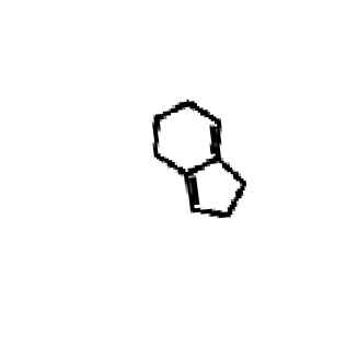 C1=C2CCC=C2CCC1